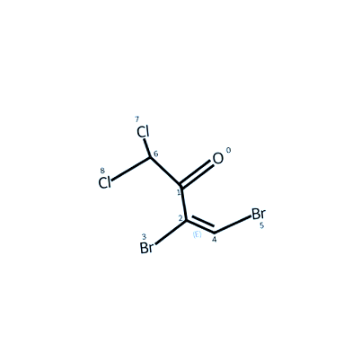 O=C(/C(Br)=C\Br)C(Cl)Cl